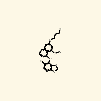 CC(C)Oc1cc(OCCCCl)cc2ncnc(Nc3c(Cl)cnc4c3OCO4)c12